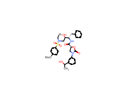 COc1ccc(S(=O)(=O)N(CC(C)C)C[C@@H](O)[C@H](Cc2ccccc2)NC(=O)[C@@H]2CN(c3cccc(C(C)O)c3)C(=O)O2)cc1